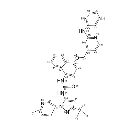 Cc1ccc(-n2nc(C(C)(C)C)cc2NC(=O)Nc2ccc(OCc3ccnc(Nc4cnccn4)c3)c3ccccc23)cn1